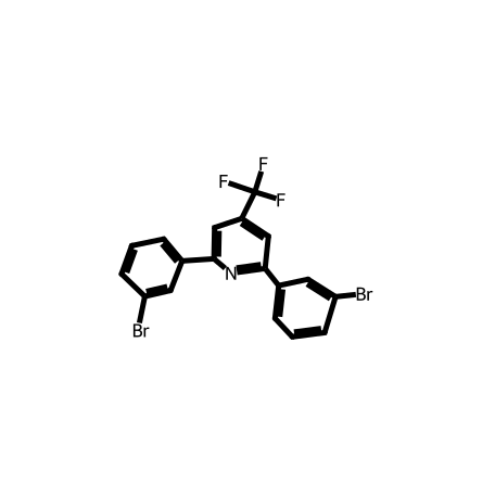 FC(F)(F)c1cc(-c2cccc(Br)c2)nc(-c2cccc(Br)c2)c1